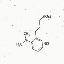 CCCCCCCCCCCc1ccccc1N(C)C.Cl